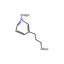 CCCCCCCCCCCCc1ccc[n+](CCCCCCC)c1